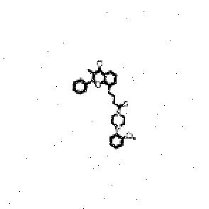 COc1ccccc1N1CCN(C(=S)CCCc2cccc3c(=O)c(C)c(-c4ccccc4)oc23)CC1